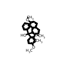 COc1ccc(C(O)(c2ccccc2)c2c(OC)ccc3ccc(OC)cc23)c(OC)c1